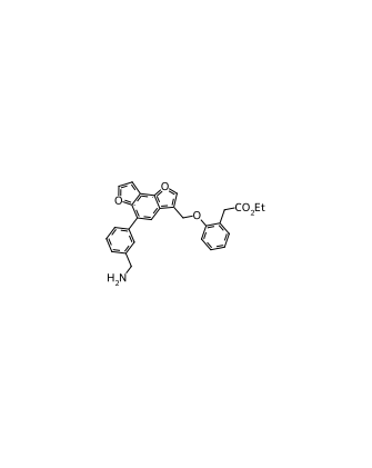 CCOC(=O)Cc1ccccc1OCc1coc2c1cc(-c1cccc(CN)c1)c1occc12